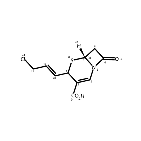 O=C(O)C1=CN2C(=O)C[C@H]2SC1C=CCCl